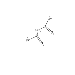 CC(C)C(=O)BC(=O)C(C)C